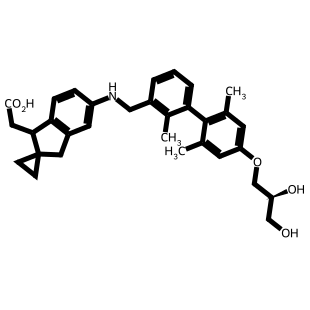 Cc1cc(OC[C@@H](O)CO)cc(C)c1-c1cccc(CNc2ccc3c(c2)CC2(CC2)C3CC(=O)O)c1C